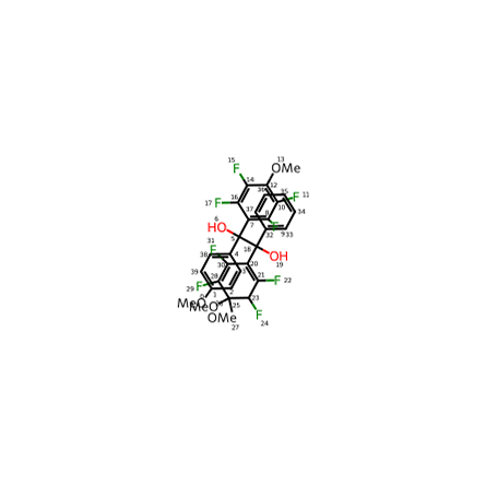 COc1ccc(C(O)(c2c(F)c(F)c(OC)c(F)c2F)C(O)(C2=C(F)C(F)C(OC)(OC)C(F)=C2F)c2ccccc2)cc1